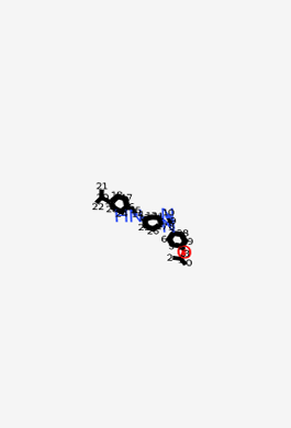 CC(C)Oc1ccc(-n2cnc3cc(NCc4ccc(C(C)C)cc4)ccc32)cc1